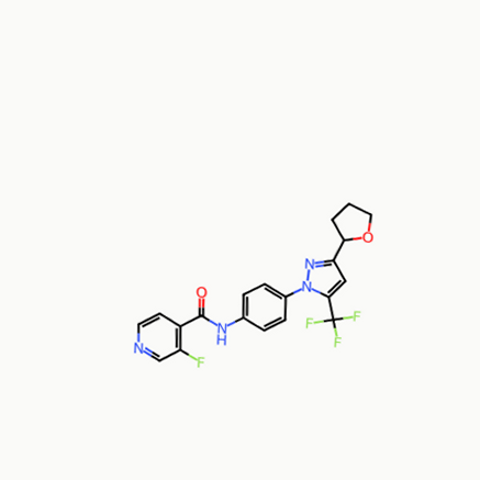 O=C(Nc1ccc(-n2nc(C3CCCO3)cc2C(F)(F)F)cc1)c1ccncc1F